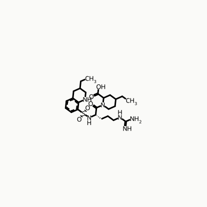 CCC1CNc2c(cccc2S(=O)(=O)N[C@@H](CCCNC(=N)N)C(=O)N2CCC(CC)CC2C(=O)O)C1